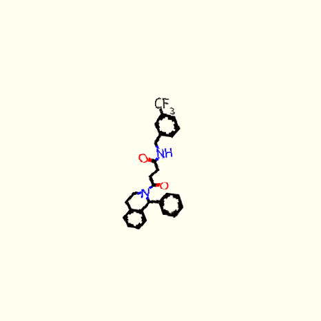 O=C(CCC(=O)N1CCc2ccccc2C1c1ccccc1)NCc1cccc(C(F)(F)F)c1